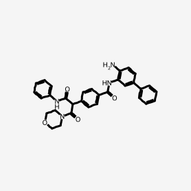 Nc1ccc(-c2ccccc2)cc1NC(=O)c1ccc(C(C(=O)Nc2ccccc2)C(=O)N2CCOCC2)cc1